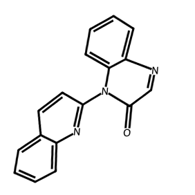 O=c1cnc2ccccc2n1-c1ccc2ccccc2n1